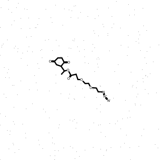 CC(OC(=O)CCOCCOCCN=[N+]=[N-])C1CC(=O)CCC1=O